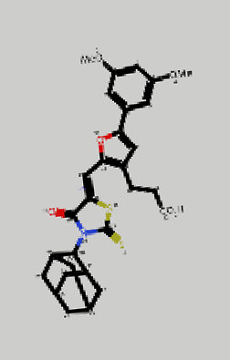 COc1cc(OC)cc(-c2cc(CCC(=O)O)c(/C=C3\SC(=S)N(C4C5CC6CC(C5)CC4C6)C3=O)o2)c1